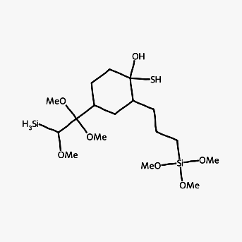 COC([SiH3])C(OC)(OC)C1CCC(O)(S)C(CCC[Si](OC)(OC)OC)C1